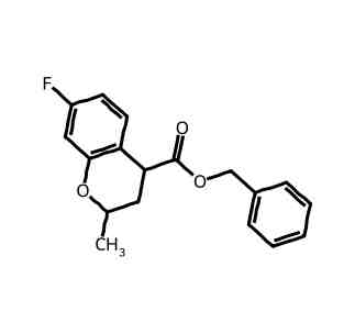 CC1CC(C(=O)OCc2ccccc2)c2ccc(F)cc2O1